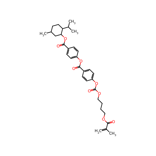 C=C(C)C(=O)OCCCCOC(=O)Oc1ccc(C(=O)Oc2ccc(C(=O)OC3CC(C)CCC3C(C)C)cc2)cc1